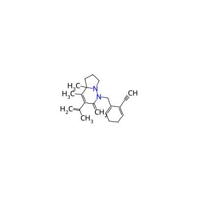 C#CC1=CCCC=C1CN1C(=C)C(C(=C)C)=C(C)C2(C)CCCN12